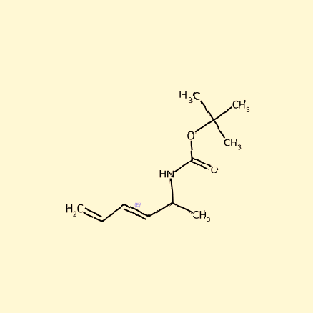 C=C/C=C/C(C)NC(=O)OC(C)(C)C